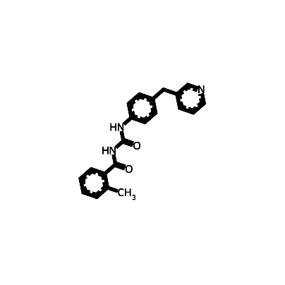 Cc1ccccc1C(=O)NC(=O)Nc1ccc(Cc2cccnc2)cc1